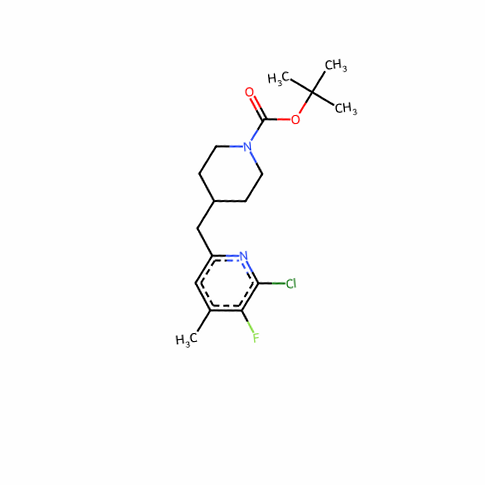 Cc1cc(CC2CCN(C(=O)OC(C)(C)C)CC2)nc(Cl)c1F